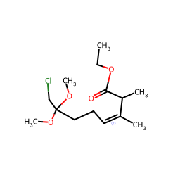 CCOC(=O)C(C)/C(C)=C\CCC(CCl)(OC)OC